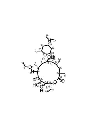 CCO/N=C1\[C@H](C)C[C@@](C)(O)[C@H](O[C@H]2C[C@@H](N(C)C)C[C@@H](C)O2)[C@@H](C)C[C@@H](C)C(=O)O[C@H](CC)[C@@](C)(O)[C@H](O)[C@H]1C